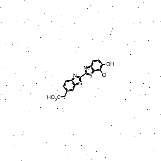 O=C(O)Cc1ccc2nc(-c3nc4ccc(O)c(Cl)c4s3)sc2c1